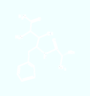 CC(C)(C)[C@H](N)C(=O)NC(Cc1ccccc1)C(O)C(N)C(N)=O